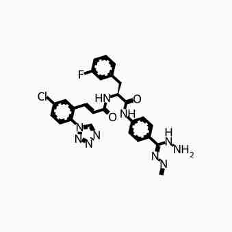 C=N/N=C(\NN)c1ccc(NC(=O)[C@H](Cc2cccc(F)c2)NC(=O)/C=C/c2cc(Cl)ccc2-n2cnnn2)cc1